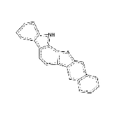 c1ccc2cc3c(cc2c1)sc1c3ccc2c3ccccc3[nH]c21